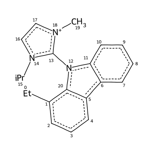 CCc1cccc2c3ccccc3n(-c3n(C(C)C)cc[n+]3C)c12